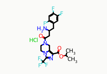 CC(C)OC(=O)c1nc(C(F)(F)F)n2c1CN(C(=O)CC(N)Cc1cc(F)c(F)cc1F)CC2.Cl